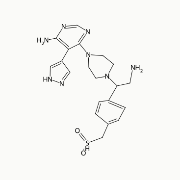 NCC(c1ccc(C[SH](=O)=O)cc1)N1CCN(c2ncnc(N)c2-c2cn[nH]c2)CC1